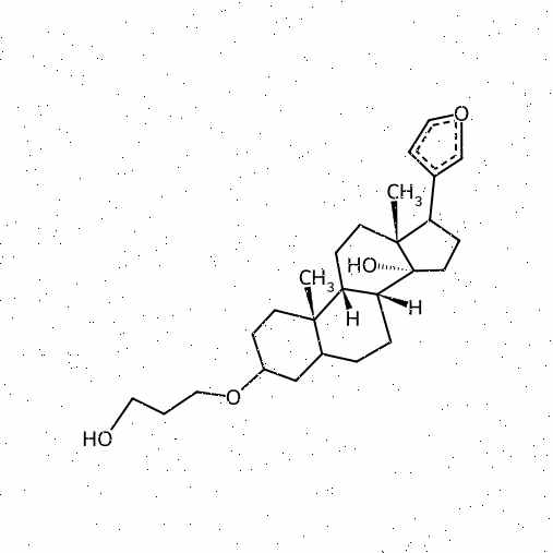 C[C@]12CCC(OCCCO)CC1CC[C@@H]1[C@H]2CC[C@]2(C)C(c3ccoc3)CC[C@@]12O